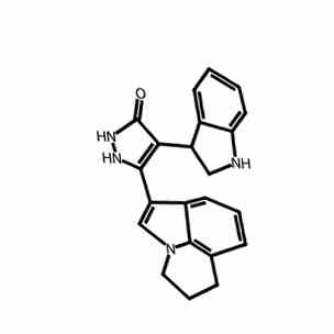 O=c1[nH][nH]c(-c2cn3c4c(cccc24)CCC3)c1C1CNc2ccccc21